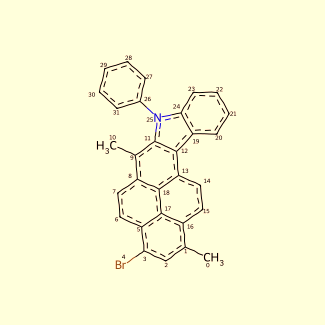 Cc1cc(Br)c2ccc3c(C)c4c(c5ccc1c2c35)c1ccccc1n4-c1ccccc1